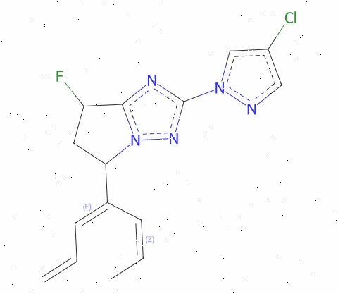 C=C/C=C(\C=C/C)C1CC(F)c2nc(-n3cc(Cl)cn3)nn21